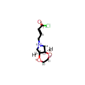 O=C(Cl)/C=C/CN1C[C@@H]2OCCO[C@@H]2C1